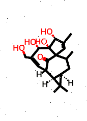 CC1=CC23C(=O)[C@@H](C=C(CO)[C@@H](O)[C@]2(O)[C@H]1O)[C@H]1[C@@H](CC3C)C1(C)C